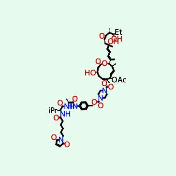 CC[C@H](O)[C@@H](C)[C@H]1O[C@@H]1CC(C)(O)/C=C/C=C(\C)[C@H]1OC(=O)C[C@H](O)CC[C@@](C)(OC(=O)N2CCN(C(=O)OCc3ccc(NC(=O)[C@H](C)NC(=O)[C@@H](NC(=O)CCCCCN4C(=O)C=CC4=O)C(C)C)cc3)CC2)[C@@H](OC(C)=O)/C=C/[C@@H]1C